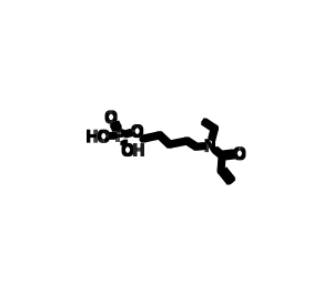 C=CC(=O)N(CC)CCCCCOP(=O)(O)O